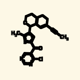 CC#CC1=CC2=C(CCOC2c2cc(C(=O)c3cncnc3Cl)sc2C)CC1